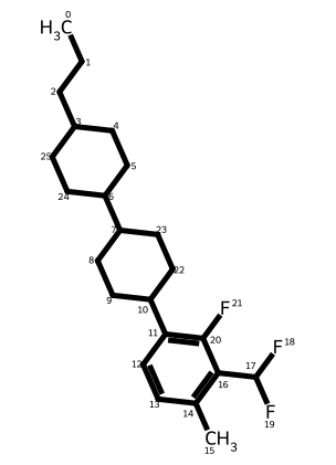 CCCC1CCC(C2CCC(c3ccc(C)c(C(F)F)c3F)CC2)CC1